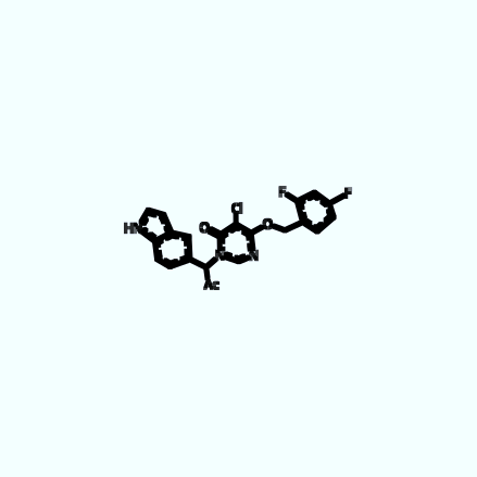 CC(=O)C(c1ccc2[nH]ccc2c1)n1cnc(OCc2ccc(F)cc2F)c(Cl)c1=O